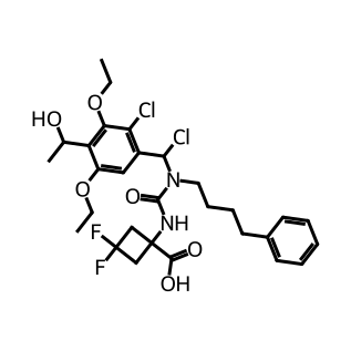 CCOc1cc(C(Cl)N(CCCCc2ccccc2)C(=O)NC2(C(=O)O)CC(F)(F)C2)c(Cl)c(OCC)c1C(C)O